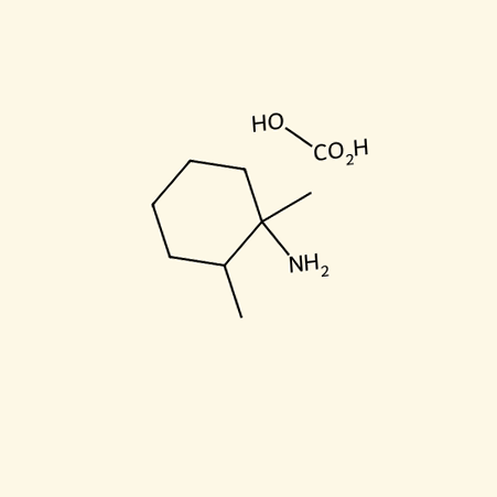 CC1CCCCC1(C)N.O=C(O)O